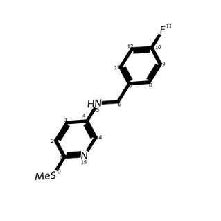 CSc1ccc(NCc2ccc(F)cc2)cn1